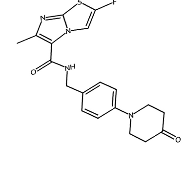 Cc1nc2sc(F)cn2c1C(=O)NCc1ccc(N2CCC(=O)CC2)cc1